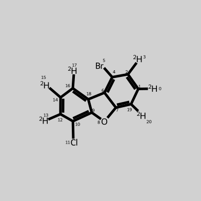 [2H]c1c([2H])c(Br)c2c(oc3c(Cl)c([2H])c([2H])c([2H])c32)c1[2H]